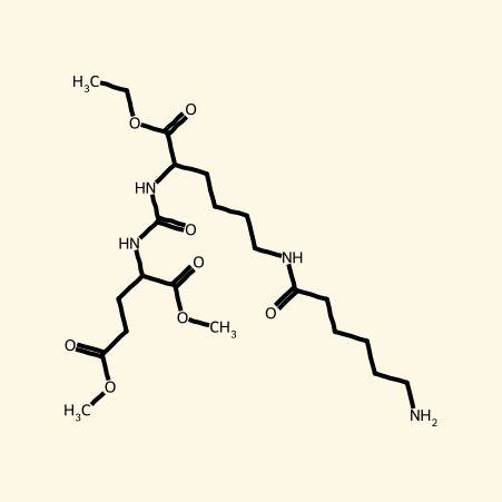 CCOC(=O)C(CCCCNC(=O)CCCCCN)NC(=O)NC(CCC(=O)OC)C(=O)OC